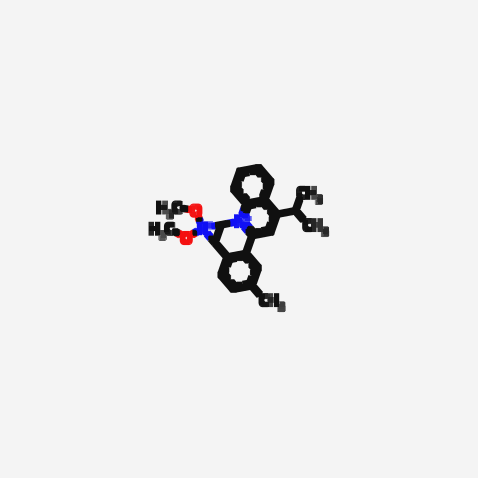 CO[N+]1(OC)C2c3ccc(C)cc3-c3cc(C(C)C)c4ccccc4[n+]3C21